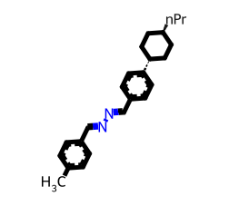 CCC[C@H]1CC[C@H](c2ccc(C=NN=Cc3ccc(C)cc3)cc2)CC1